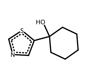 OC1(c2cncs2)CCCCC1